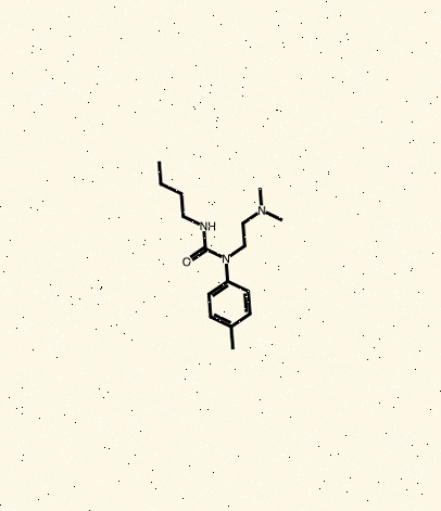 CCCCNC(=O)N(CCN(C)C)c1ccc(C)cc1